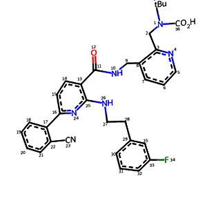 CC(C)(C)N(Cc1ncccc1CNC(=O)c1ccc(-c2ccccc2C#N)nc1NCCc1cccc(F)c1)C(=O)O